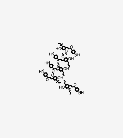 C=CC(C)(C)c1cc(C=CC(=O)c2ccc(NC)cc2)c(OCC)cc1O.C=CCc1cc(C=CC(=O)c2ccc(NC)cc2)c(OCC)cc1O.CC=CCc1cc(C=CC(=O)c2ccc(NC)cc2)c(OCC)cc1O.CCCOc1cc(O)c(CCC)cc1C=CC(=O)c1ccc(NC)cc1.CCOc1cc(O)c(C(C)(C)CC)cc1C=CC(=O)c1ccc(NC)cc1